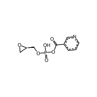 O=C(OP(=O)(O)OC[C@H]1CO1)c1cccnc1